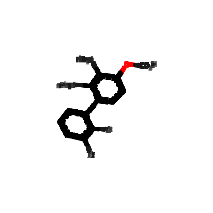 CCCCCCCc1c(OC(=O)O)ccc(-c2cccc(CC)c2CC)c1CCCCCCC